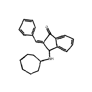 O=C1/C(=C\c2ccccc2)C(NC2CCCCCC2)c2ccccc21